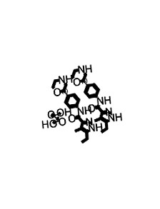 CCc1[nH]nc(C(=O)Nc2ccc([C@H]3CNCCO3)cc2)c1C.CCc1[nH]nc(C(=O)Nc2ccc([C@H]3CNCCO3)cc2)c1C.O=S(=O)(O)O